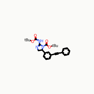 CC(C)(C)OC(=O)NC1=NCC(c2cccc(C#Cc3ccccc3)c2)N1C(=O)OC(C)(C)C